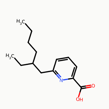 CCCCC(CC)Cc1cccc(C(=O)O)n1